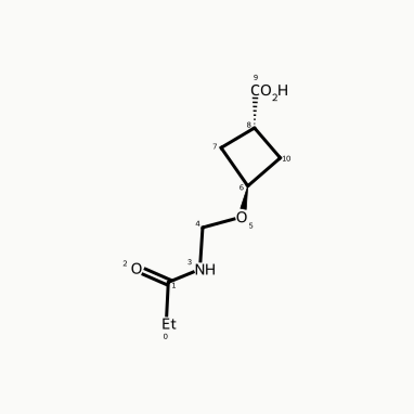 CCC(=O)NCO[C@H]1C[C@H](C(=O)O)C1